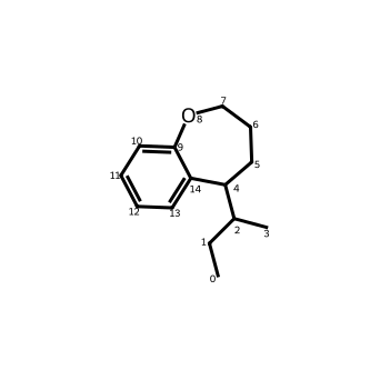 CCC(C)C1CCCOc2ccccc21